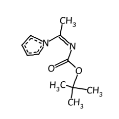 C/C(=N/C(=O)OC(C)(C)C)n1cccc1